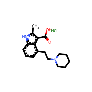 Cc1[nH]c2cccc(CCN3CCCCC3)c2c1C(=O)O.Cl